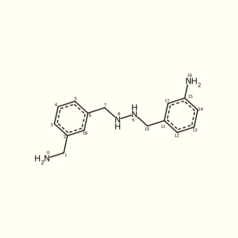 NCc1cccc(CNNCc2cccc(N)c2)c1